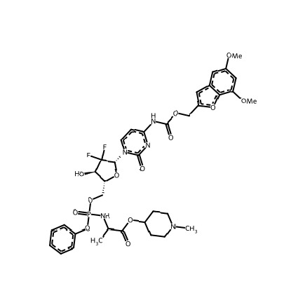 COc1cc(OC)c2oc(COC(=O)Nc3ccn([C@@H]4O[C@H](COP(=O)(NC(C)C(=O)OC5CCN(C)CC5)Oc5ccccc5)[C@@H](O)C4(F)F)c(=O)n3)cc2c1